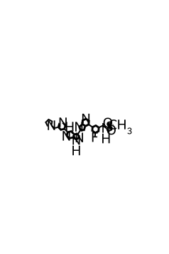 CS(=O)(=O)NCc1cc(F)cc(-c2cncc3[nH]c(-c4n[nH]c5cnc(-c6cncc(CN7CCCC7)c6)cc45)cc23)c1